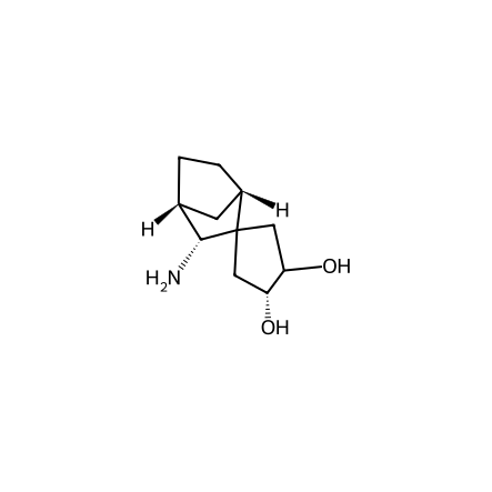 N[C@@H]1[C@@H]2CC[C@@H](C2)C12CC(O)[C@H](O)C2